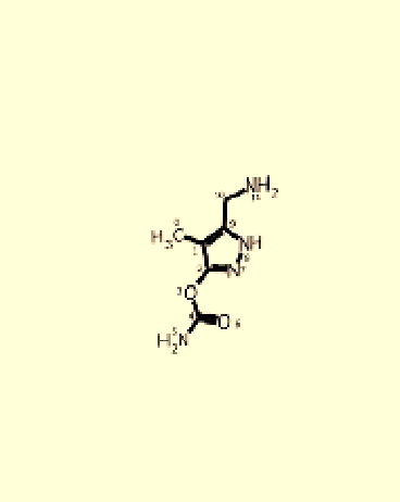 Cc1c(OC(N)=O)n[nH]c1CN